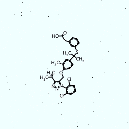 Cc1cc(C(C)(C)Sc2cccc(CC(=O)O)c2)ccc1OCc1c(C(C)C)nnn1-c1c(Cl)cccc1Cl